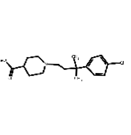 COC(=O)C1CCN(CCC(C)(C)c2ccc(Cl)cc2)CC1